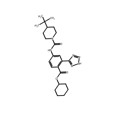 CC(C)(C)C1CCN(C(=O)Nc2ccc(C(=O)OC3CCCCC3)c(-c3nn[nH]n3)c2)CC1